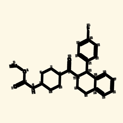 CCCCOC(=O)NC1CCC(C(=O)N2CCc3ccccc3C2c2ccc(F)cc2)CC1